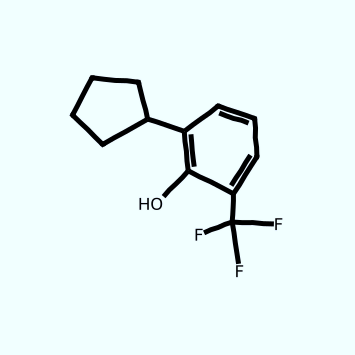 Oc1c(C2CCCC2)cccc1C(F)(F)F